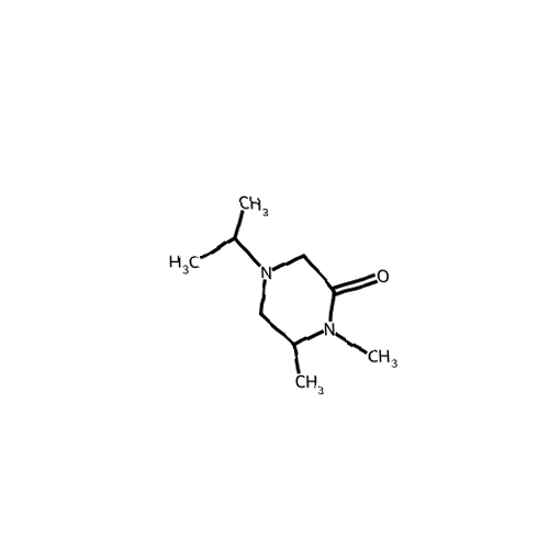 CC(C)N1CC(=O)N(C)C(C)C1